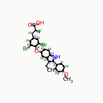 CCc1c(-c2ccc(OC)cc2)[nH]c2ccc(Oc3c(Br)cc(CC(F)C(=O)O)cc3Br)cc12